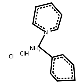 Cl.N.[Cl-].c1ccc(C[n+]2ccccc2)cc1